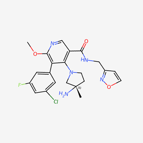 COc1ncc(C(=O)NCc2ccon2)c(N2CC[C@](C)(N)C2)c1-c1cc(F)cc(Cl)c1